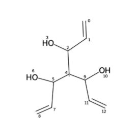 C=CC(O)[C](C(O)C=C)C(O)C=C